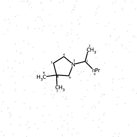 CCCC(C)N1CCC(C)(C)C1